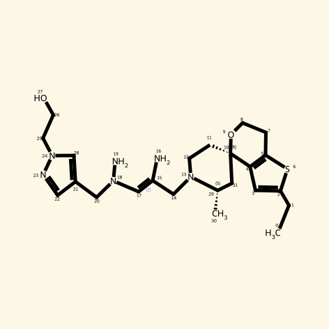 CCc1cc2c(s1)CCO[C@@]21CCN(C/C(N)=C/N(N)Cc2cnn(CCO)c2)[C@@H](C)C1